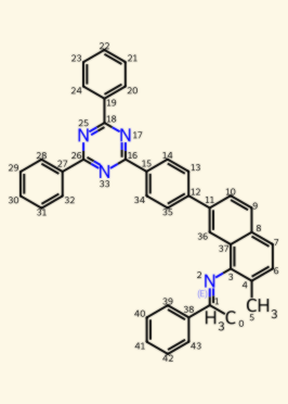 C/C(=N\c1c(C)ccc2ccc(-c3ccc(-c4nc(-c5ccccc5)nc(-c5ccccc5)n4)cc3)cc12)c1ccccc1